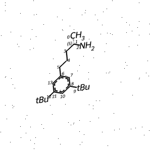 C[C@H](N)CCCc1cc(C(C)(C)C)cc(C(C)(C)C)c1